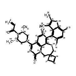 C=CC(=O)N1[C@H](C)CN(c2nc(=O)n3c4c(c(-c5c(F)cc(F)c6sc(N)c(C#N)c56)c(C(F)(F)F)cc24)SCC2(CCC2)C3)C[C@@H]1C